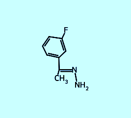 CC(=NN)c1cccc(F)c1